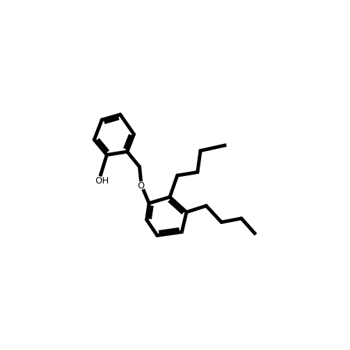 CCCCc1cccc(OCc2ccccc2O)c1CCCC